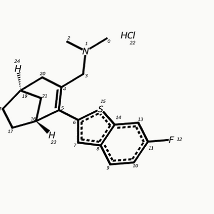 CN(C)CC1=C(c2cc3ccc(F)cc3s2)[C@@H]2CC[C@@H](C1)C2.Cl